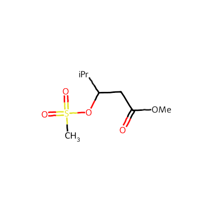 COC(=O)CC(OS(C)(=O)=O)C(C)C